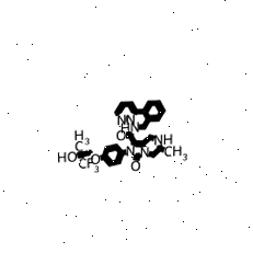 CC1Cn2c(c(C(=O)NCc3ccccc3-c3cccnn3)n(-c3ccc(OCC(C)(O)C(F)(F)F)cc3)c2=O)CN1